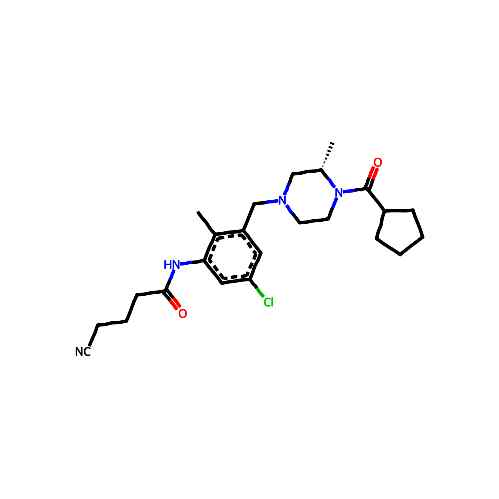 Cc1c(CN2CCN(C(=O)C3CCCC3)[C@@H](C)C2)cc(Cl)cc1NC(=O)CCCC#N